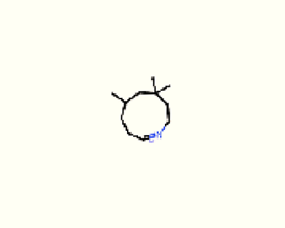 CC1CC/C=N\CCC(C)(C)C1